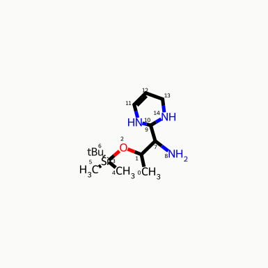 CC(O[Si](C)(C)C(C)(C)C)C(N)C1NC=CCN1